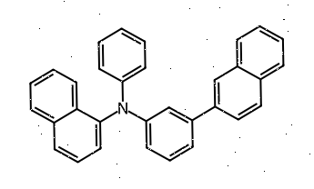 c1ccc(N(c2cccc(-c3ccc4ccccc4c3)c2)c2cccc3ccccc23)cc1